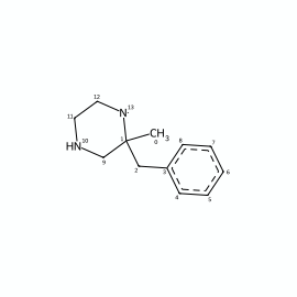 CC1(Cc2ccccc2)CNCC[N]1